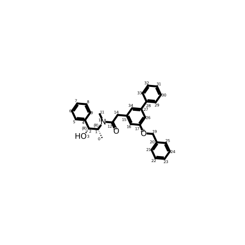 C[C@H]([C@H](O)c1ccccc1)N(C)C(=O)Cc1cc(OCc2ccccc2)cc(-c2ccccc2)c1